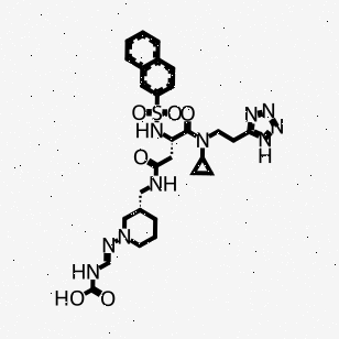 O=C(O)NC=NN1CCC[C@@H](CNC(=O)C[C@H](NS(=O)(=O)c2ccc3ccccc3c2)C(=O)N(CCc2nnn[nH]2)C2CC2)C1